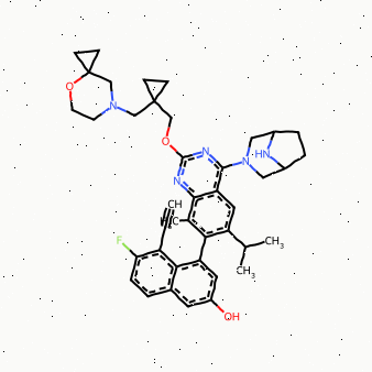 C#Cc1c(F)ccc2cc(O)cc(-c3c(C(C)C)cc4c(N5CC6CCC(C5)N6)nc(OCC5(CN6CCOC7(CC7)C6)CC5)nc4c3C)c12